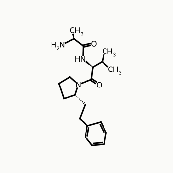 CC(C)[C@H](NC(=O)[C@H](C)N)C(=O)N1CCC[C@H]1CCc1ccccc1